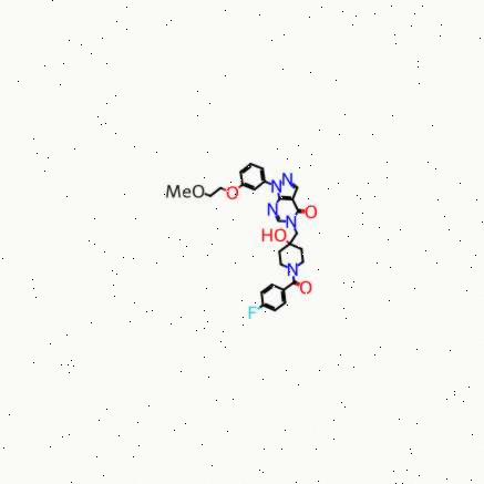 COCCOc1cccc(-n2ncc3c(=O)n(CC4(O)CCN(C(=O)c5ccc(F)cc5)CC4)cnc32)c1